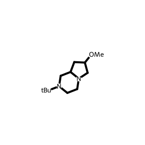 COC1CC2CN(C(C)(C)C)CCN2C1